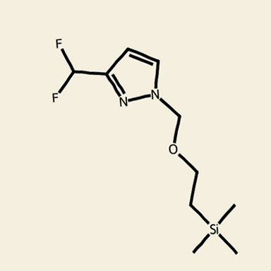 C[Si](C)(C)CCOCn1ccc(C(F)F)n1